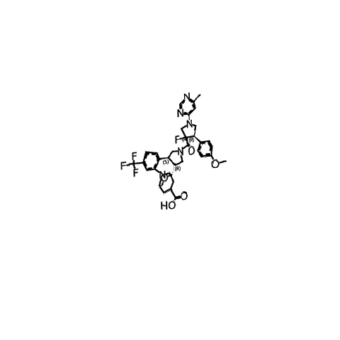 COC[C@H]1CN(C(=O)[C@]2(F)CN(c3cc(C)ncn3)C[C@H]2c2ccc(OC)cc2)C[C@@H]1c1ccc(C(F)(F)F)cc1N1CCC(C(=O)O)CC1